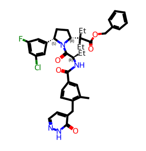 CC[C@@H](NC(=O)c1ccc(Cc2ccn[nH]c2=O)c(C)c1)C(=O)N1[C@H](c2cc(F)cc(Cl)c2)CC[C@@H]1C(CC)(CC)C(=O)OCc1ccccc1